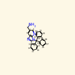 NCc1cnc2c(c1)ncn2C(c1ccccc1)(c1ccccc1)c1ccccc1